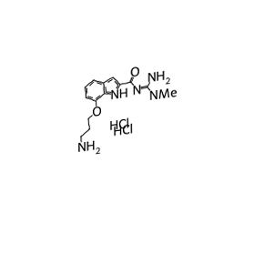 CNC(N)=NC(=O)c1cc2cccc(OCCCN)c2[nH]1.Cl.Cl